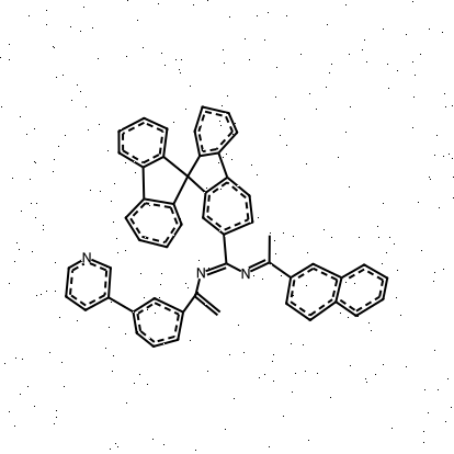 C=C(/N=C(\N=C(/C)c1ccc2ccccc2c1)c1ccc2c(c1)C1(c3ccccc3-c3ccccc31)c1ccccc1-2)c1cccc(-c2cccnc2)c1